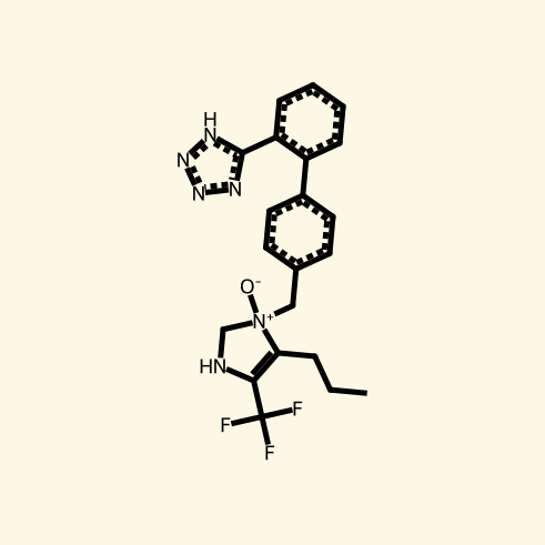 CCCC1=C(C(F)(F)F)NC[N+]1([O-])Cc1ccc(-c2ccccc2-c2nnn[nH]2)cc1